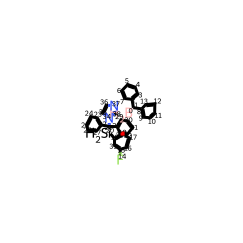 BC(c1ccccc1)c1ccccc1.Fc1cccc([SiH2]C(c2ccccc2)(c2ccccc2)n2ccnc2)c1